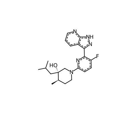 CC(C)C[C@@]1(O)CN(c2ccc(F)c(-c3n[nH]c4ncccc34)n2)CC[C@H]1C